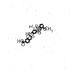 COc1cccc(OC)c1CS(=O)(=O)c1ccc2c(c1)S/C(=C/c1ccc(C(=O)O)cc1)C(=O)N2